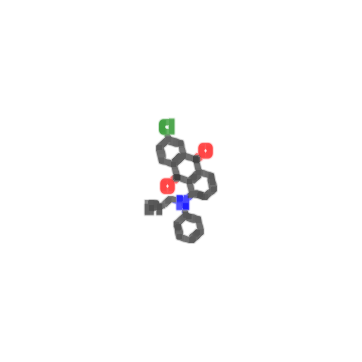 CC(C)CN(c1ccccc1)c1cccc2c1C(=O)c1ccc(Cl)cc1C2=O